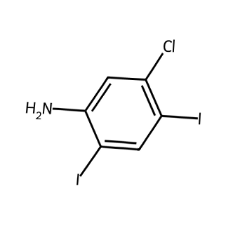 Nc1cc(Cl)c(I)cc1I